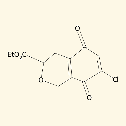 CCOC(=O)C1CC2=C(CO1)C(=O)C(Cl)=CC2=O